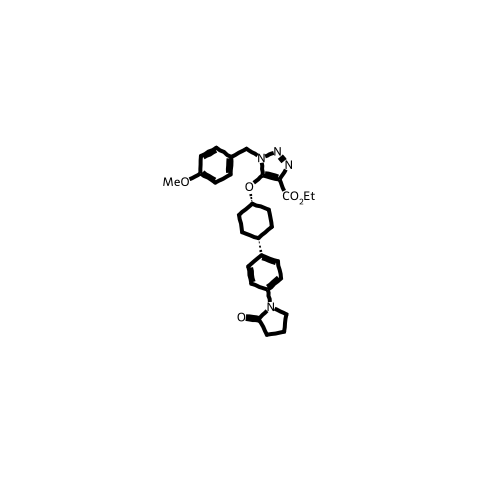 CCOC(=O)c1nnn(Cc2ccc(OC)cc2)c1O[C@H]1CC[C@@H](c2ccc(N3CCCC3=O)cc2)CC1